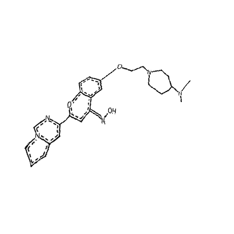 CN(C)C1CCN(CCOc2ccc3oc(-c4cc5cccn5cn4)c/c(=N/O)c3c2)CC1